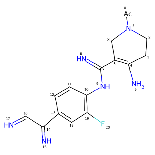 CC(=O)N1CCC(N)=C(C(=N)Nc2ccc(C(=N)C=N)cc2F)C1